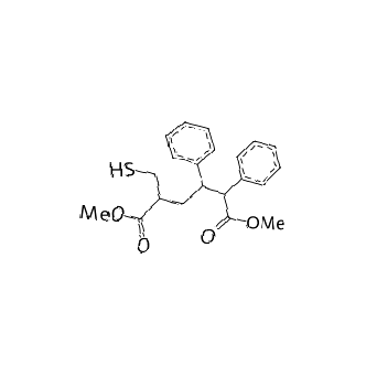 COC(=O)C(CS)CC(c1ccccc1)C(C(=O)OC)c1ccccc1